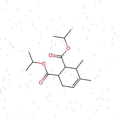 CC1=CCC(C(=O)OC(C)C)C(C(=O)OC(C)C)C1C